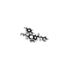 CC(C)(C)OC(=O)N[C@H]1CS(=O)(=O)c2ccc(C(=O)NCC3CCOC3)cc2N(Cc2ccc(Cl)cc2)C1=O